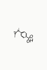 CC1=C([C@@H](C)c2ccc(C(=O)O)cc2)C1